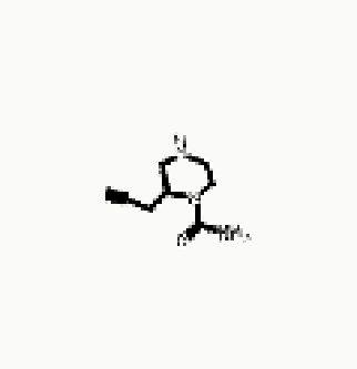 C#CCC1CNCCN1C(N)=O